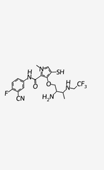 CC(NCC(F)(F)F)C(N)COc1c(S)cn(C)c1C(=O)Nc1ccc(F)c(C#N)c1